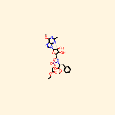 CCOC(=O)COP(=O)(N[C@H](Cc1ccccc1)C(=O)OC)OC[C@H]1O[C@@H](n2cnc3c(OC)nc(C)nc32)[C@@](C)(O)C1O